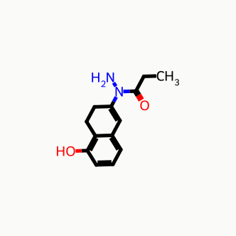 CCC(=O)N(N)C1=Cc2cccc(O)c2CC1